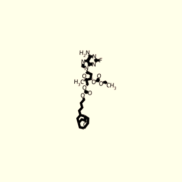 CCOC(=O)O[C@H]1C[C@H](n2cnc3c(N)nc(F)nc32)O[C@]1(C)COC(=O)OCCCCC1CC2CC3CCC1C(C3)C2